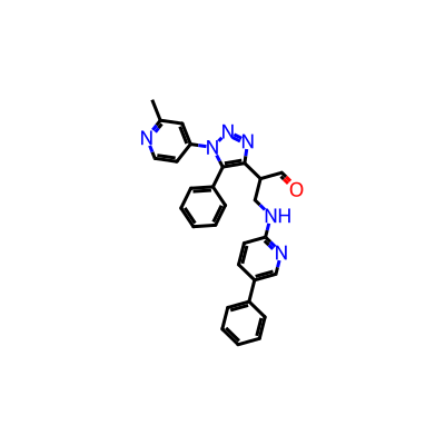 Cc1cc(-n2nnc(C(C=O)CNc3ccc(-c4ccccc4)cn3)c2-c2ccccc2)ccn1